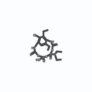 CCc1cc2c(Cl)c(CC)c1NC(=S)OP(=O)(N(CC)CC)OP(=O)(O)OC(=S)N2